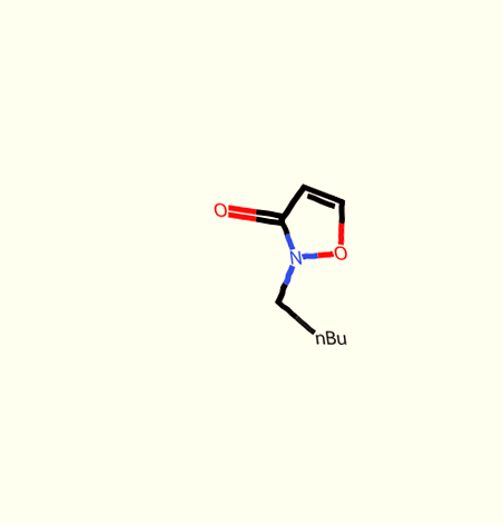 CCCCCn1occc1=O